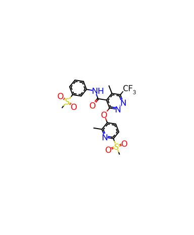 Cc1nc(S(C)(=O)=O)ccc1Oc1nnc(C(F)(F)F)c(C)c1C(=O)Nc1cccc(S(C)(=O)=O)c1